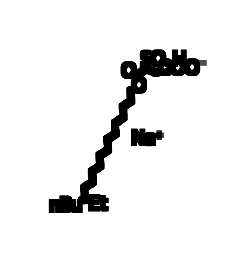 CCCCC(CC)CCCCCCCCCCCCCOC(=O)C(CC(=O)[O-])S(=O)(=O)O.[Na+]